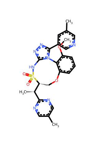 COc1cccc2c1-n1c(nnc1-c1cncc(C)c1)NS(=O)(=O)[C@@H]([C@@H](C)c1ncc(C)cn1)CO2